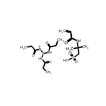 C=CC(=O)NC(C)(C)CS(=O)(=O)O.CCC(=O)NN(NC(=O)CC)NC(=O)CC